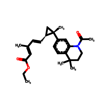 CCOC(=O)C=C(C)C=C[C@@H]1C[C@]1(C)c1ccc2c(c1)N(C(C)=O)CCC2(C)C